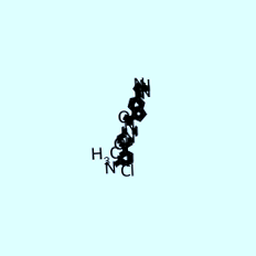 Cc1c(C2CN3CCN(C(=O)C4CCc5cc(-n6cnnn6)ccc54)CC3CO2)ccc(Cl)c1C#N